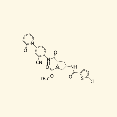 CC(C)(C)OC(=O)N1CC(NC(=O)c2ccc(Cl)s2)C[C@H]1C(=O)Nc1ccc(-n2ccccc2=O)cc1C#N